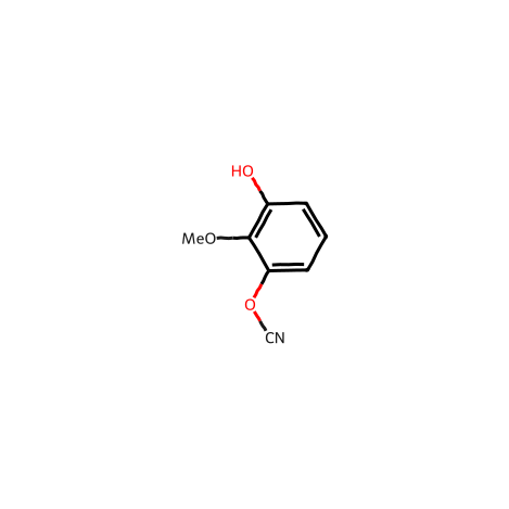 COc1c(O)cccc1OC#N